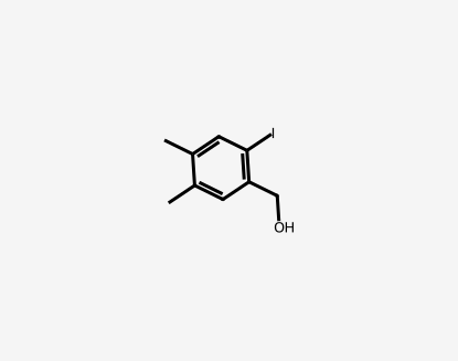 Cc1cc(I)c(CO)cc1C